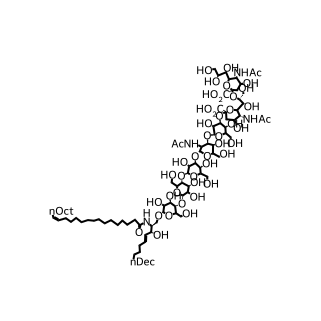 CCCCCCCC/C=C\CCCCCCCCCCCCCC(=O)N[C@@H](CO[C@@H]1OC(CO)[C@@H](O[C@@H]2OC(CO)[C@H](O[C@@H]3OC(CO)[C@H](O)[C@H](O[C@@H]4OC(CO)[C@H](O)[C@H](O[C@@H]5OC(CO)[C@H](O)[C@H](O[C@]6(C(=O)O)CC(O)[C@@H](NC(C)=O)C([C@H](O)[C@@H](CO)O[C@]7(C(=O)O)CC(O)[C@@H](NC(C)=O)C([C@H](O)[C@H](O)CO)O7)O6)C5O)C4NC(C)=O)C3O)[C@H](O)C2O)[C@H](O)C1O)[C@H](O)/C=C/CCCCCCCCCCCCC